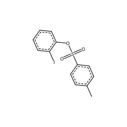 Cc1ccc(S(=O)(=O)Oc2ccccc2I)cc1